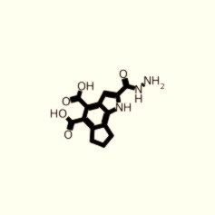 NNC(=O)c1cc2c(C(=O)O)c(C(=O)O)c3c(c2[nH]1)CCC3